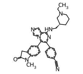 CCN1CCC[C@@H](CNc2nc(-c3ccc(C#N)cc3)c(-c3ccc4c(c3)CC(=O)N4C)n3cncc23)C1